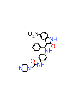 CN1CCN(CC(=O)Nc2ccc(N/C(=C3\C(=O)Nc4ccc([N+](=O)[O-])cc43)c3ccccc3)cc2)CC1